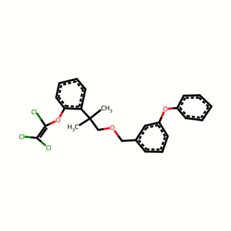 CC(C)(COCc1cccc(Oc2ccccc2)c1)c1ccccc1OC(Cl)=C(Cl)Cl